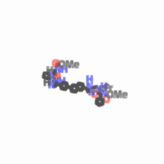 CCCN(Cc1ncc(-c2ccc3cc(-c4ccc(-c5cnc([C@@H]6[C@H]7CC[C@H](C7)N6C(=O)CNC(=O)OC)[nH]5)cc4)ccc3c2)[nH]1)C(=O)[C@H](NC(=O)OC)c1ccccc1